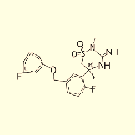 CN1C(=N)N[C@](C)(c2cc(COc3cccc(F)c3)ccc2F)CS1(=O)=O